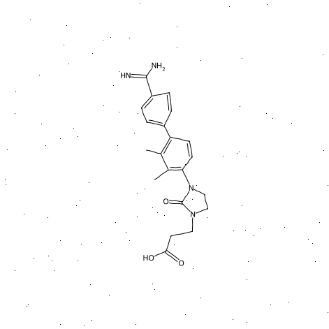 Cc1c(-c2ccc(C(=N)N)cc2)ccc(N2CCN(CCC(=O)O)C2=O)c1C